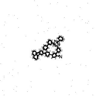 N#Cc1ccc(-c2ccc(-c3ccc4c(c3)-c3cccc5cccc-4c35)cc2)cc1-c1cccc(-c2nc(-c3ccccc3)nc(-c3cccc(-c4ccccc4)c3)n2)c1